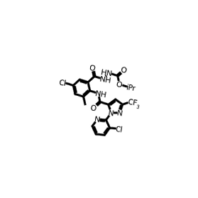 Cc1cc(Cl)cc(C(=O)NNC(=O)OC(C)C)c1NC(=O)c1cc(C(F)(F)F)nn1-c1ncccc1Cl